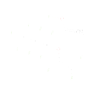 C=COF.FC(F)=C(F)OC(F)(F)C(F)(F)C(F)(F)F